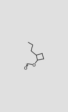 CCCC1CCC1O[C]=O